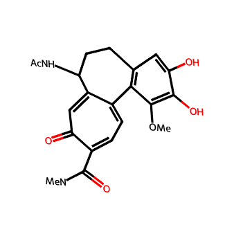 CNC(=O)c1ccc2c(cc1=O)C(NC(C)=O)CCc1cc(O)c(O)c(OC)c1-2